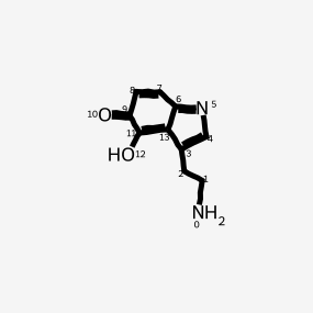 NCCC1=CN=C2C=CC(=O)C(O)=C12